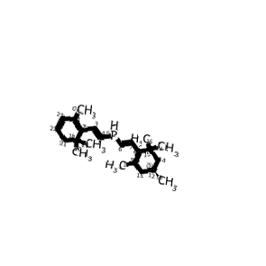 CC1=C(C=CPC=CC2=C(C)C[C@@H](C)CC2(C)C)C(C)(C)CC=C1